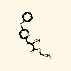 CCOC(=O)/C(O)=C/c1ccc(Oc2ccccc2)cn1